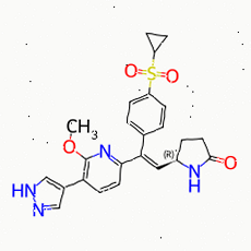 COc1nc(C(=C[C@H]2CCC(=O)N2)c2ccc(S(=O)(=O)C3CC3)cc2)ccc1-c1cn[nH]c1